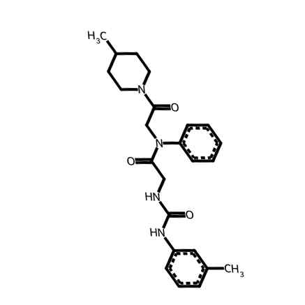 Cc1cccc(NC(=O)NCC(=O)N(CC(=O)N2CCC(C)CC2)c2ccccc2)c1